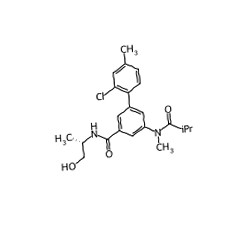 Cc1ccc(-c2cc(C(=O)N[C@@H](C)CO)cc(N(C)C(=O)C(C)C)c2)c(Cl)c1